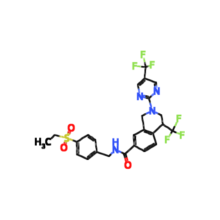 CCS(=O)(=O)c1ccc(CNC(=O)c2ccc3c(c2)CN(c2ncc(C(F)(F)F)cn2)CC3C(F)(F)F)cc1